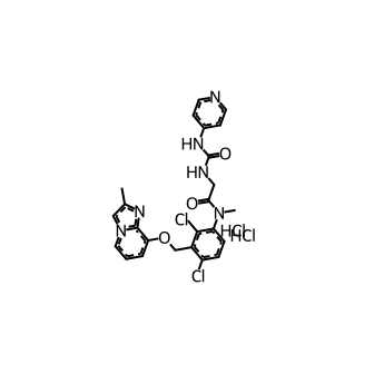 Cc1cn2cccc(OCc3c(Cl)ccc(N(C)C(=O)CNC(=O)Nc4ccncc4)c3Cl)c2n1.Cl.Cl